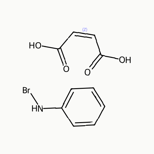 BrNc1ccccc1.O=C(O)/C=C\C(=O)O